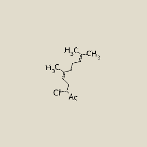 CC(=O)C(Cl)CC=C(C)CCC=C(C)C